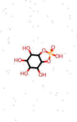 O=P1(O)OC2C(O)C(O)C(O)C(O)C2O1